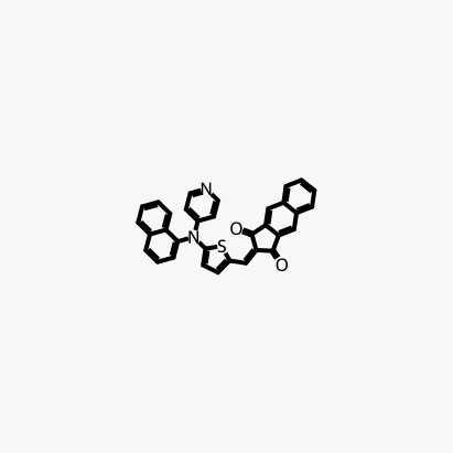 O=C1C(=Cc2ccc(N(c3ccncc3)c3cccc4ccccc34)s2)C(=O)c2cc3ccccc3cc21